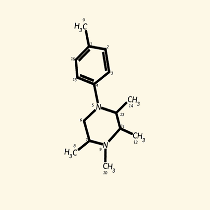 Cc1ccc(N2CC(C)N(C)C(C)C2C)cc1